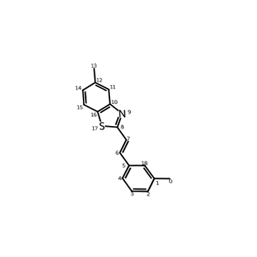 Cc1cccc(C=Cc2nc3cc(C)ccc3s2)c1